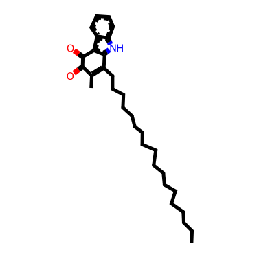 CCCCCCCCCCCCCCCCCCC1=C(C)C(=O)C(=O)c2c1[nH]c1ccccc21